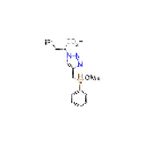 CO[SH](Cc1cn([C@H](CC(C)C)C(=O)O)nn1)c1ccccc1